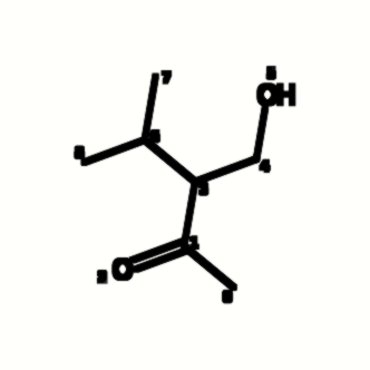 CC(=O)C(CO)C(C)C